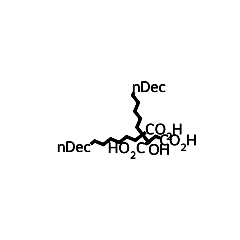 CCCCCCCCCCCCCCCCC(CCCCCCCCCCCCCCC)(C(=O)O)C(O)(CC(=O)O)C(=O)O